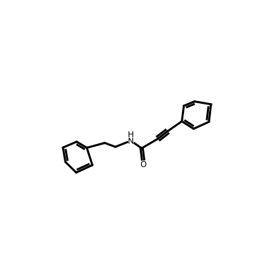 O=C(C#Cc1ccccc1)NCCc1ccccc1